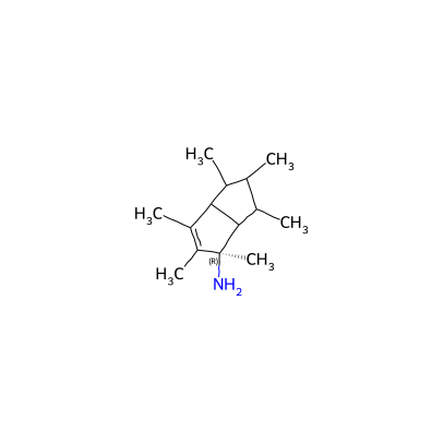 CC1=C(C)[C@](C)(N)C2C(C)C(C)C(C)C12